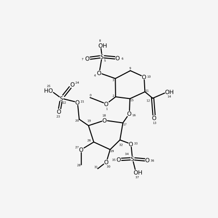 COC1C(OS(=O)(=O)O)COC(C(=O)O)C1OC1OC(COS(=O)(=O)O)C(OC)C(OC)C1OS(=O)(=O)O